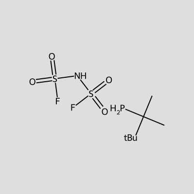 CC(C)(C)C(C)(C)P.O=S(=O)(F)NS(=O)(=O)F